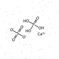 O=P(O)(O)O.O=S(=O)([O-])[O-].[Ca+2]